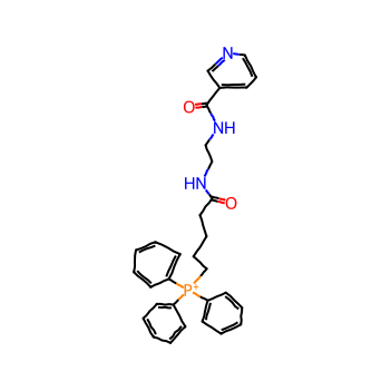 O=C(CCCC[P+](c1ccccc1)(c1ccccc1)c1ccccc1)NCCNC(=O)c1cccnc1